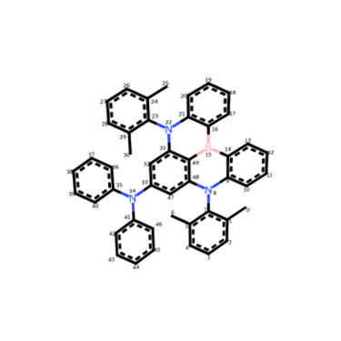 Cc1cccc(C)c1N1c2ccccc2B2c3ccccc3N(c3c(C)cccc3C)c3cc(N(c4ccccc4)c4ccccc4)cc1c32